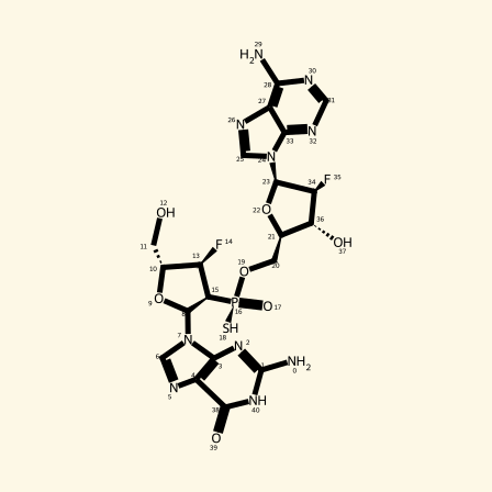 Nc1nc2c(ncn2C2O[C@H](CO)[C@@H](F)[C@H]2[P@](=O)(S)OC[C@H]2O[C@@H](n3cnc4c(N)ncnc43)[C@@H](F)[C@@H]2O)c(=O)[nH]1